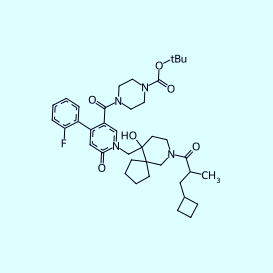 CC(CC1CCC1)C(=O)N1CCC(O)(Cn2cc(C(=O)N3CCN(C(=O)OC(C)(C)C)CC3)c(-c3ccccc3F)cc2=O)C2(CCCC2)C1